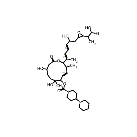 CCC(O)C(C)C1OC1CC(C)/C=C/C=C(\C)C1OC(=O)CC(O)CCC(C)(O)C(OC(=O)N2CCC(N3CCCCC3)CC2)/C=C/C1C